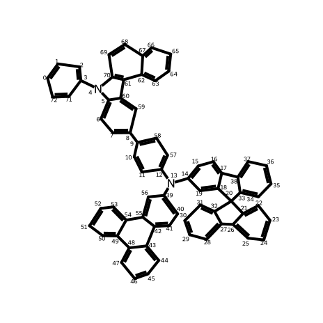 c1ccc(-n2c3ccc(-c4ccc(N(c5ccc6c(c5)C5(c7ccccc7-c7ccccc75)c5ccccc5-6)c5ccc6c7ccccc7c7ccccc7c6c5)cc4)cc3c3c4ccccc4ccc32)cc1